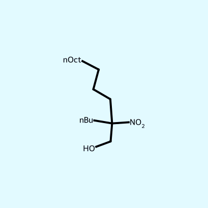 CCCCCCCCCCCC(CO)(CCCC)[N+](=O)[O-]